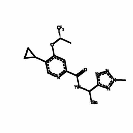 C[C@H](Oc1cc(C(=O)NC(c2nnn(C)n2)C(C)(C)C)ncc1C1CC1)C(F)(F)F